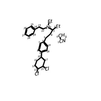 CC#N.CCC(CCc1ccc(C2CCC(Cl)C(Cl)C2)cc1)N(CC)CCc1ccccc1